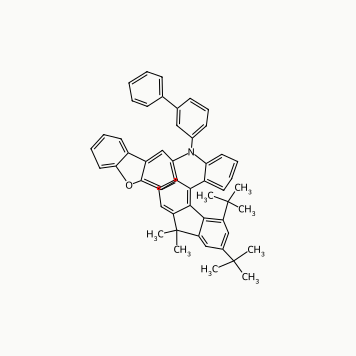 CC(C)(C)c1cc(C(C)(C)C)c2c(c1)C(C)(C)c1cccc(-c3ccccc3N(c3cccc(-c4ccccc4)c3)c3ccc4oc5ccccc5c4c3)c1-2